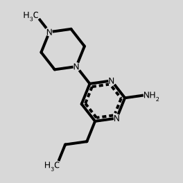 CCCc1cc(N2CCN(C)CC2)nc(N)n1